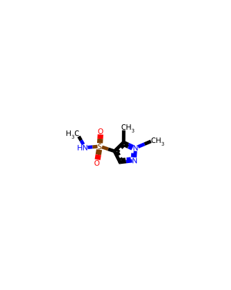 CNS(=O)(=O)c1cnn(C)c1C